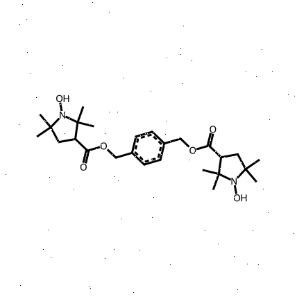 CC1(C)CC(C(=O)OCc2ccc(COC(=O)C3CC(C)(C)N(O)C3(C)C)cc2)C(C)(C)N1O